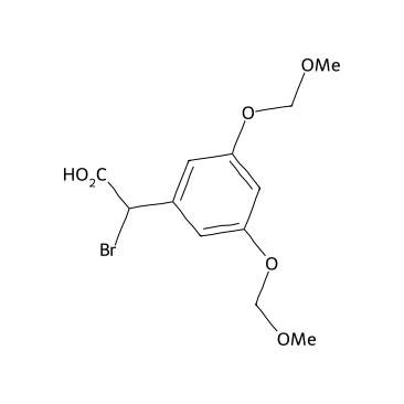 COCOc1cc(OCOC)cc(C(Br)C(=O)O)c1